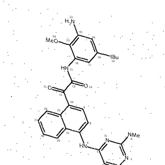 CNc1nccc(Nc2ccc(C(=O)C(=O)Nc3cc(C(C)(C)C)cc(N)c3OC)c3ccccc23)n1